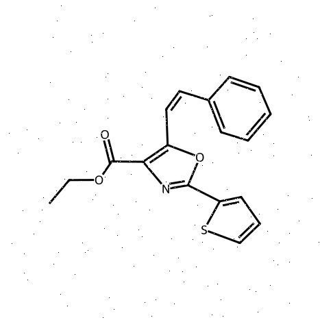 CCOC(=O)c1nc(-c2cccs2)oc1/C=C\c1ccccc1